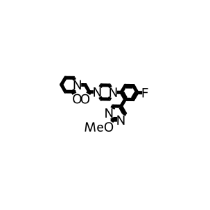 COc1ncc(-c2cc(F)ccc2N2CCN(C(=O)CN3CCCCC3=O)CC2)cn1